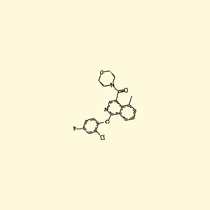 Cc1cccc2c(Oc3ccc(F)cc3Cl)ncc(C(=O)N3CCOCC3)c12